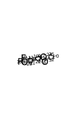 C[C@H]1CC[C@H](C(=O)Oc2ccc(-c3ccc(OC(F)F)cc3)cc2)CC1